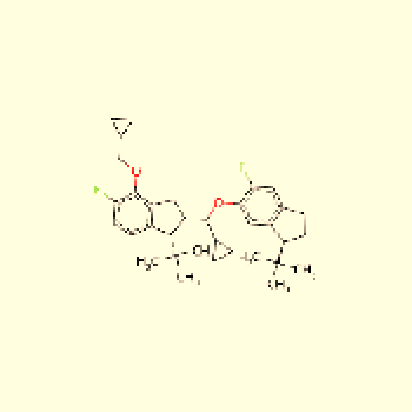 CC(C)(C)[C@@H]1CCc2cc(F)c(OC(C3CC3)C3Cc4c(ccc(F)c4OCC4CC4)[C@H]3C(C)(C)C)cc21